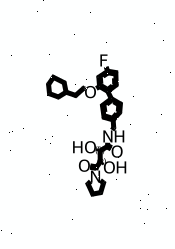 O=C(NCc1ccc(-c2ccc(F)cc2OCCC2CCCCC2)cc1)[C@H](O)[C@@H](O)C(=O)N1CCCC1